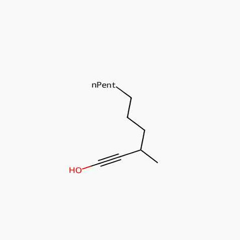 CCCCCCCCC(C)C#CO